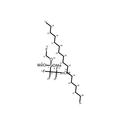 CCCCCCCCC(F)(F)C(F)(F)[Si](OC)(OC)OCF.CCCCCCCCCCCCCCCCC